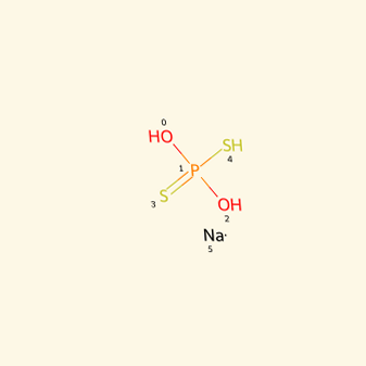 OP(O)(=S)S.[Na]